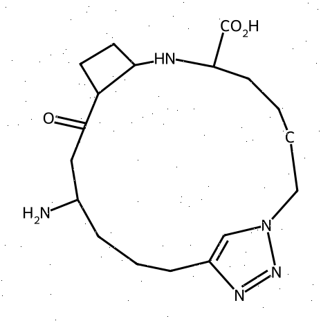 NC1CCCc2cn(nn2)CCCCC(C(=O)O)NC2CCC2C(=O)C1